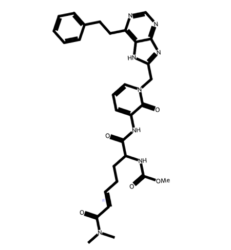 COC(=O)NC(CC/C=C/C(=O)N(C)C)C(=O)Nc1cccn(Cc2nc3ncnc(CCc4ccccc4)c3[nH]2)c1=O